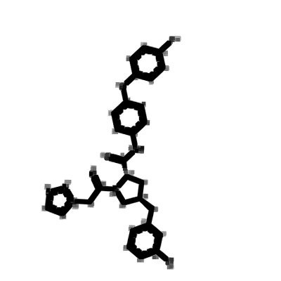 O=C(Nc1ccc(Oc2ccc(F)cc2)cc1)[C@@H]1C[C@@H](Cc2cccc(Cl)c2)CN1C(=O)Cn1ccnn1